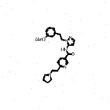 COc1cccc(CCn2nccc2NC(=O)c2ccc(CCN3CCCC3)nc2)c1